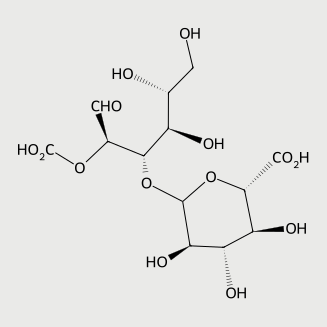 O=C[C@H](OC(=O)O)[C@@H](OC1O[C@H](C(=O)O)[C@@H](O)[C@H](O)[C@H]1O)[C@H](O)[C@H](O)CO